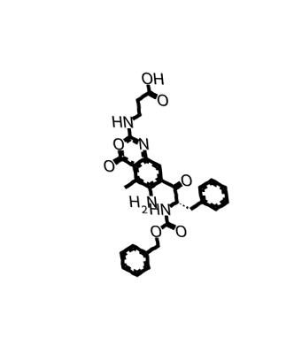 Cc1c(N)c(C(=O)[C@H](Cc2ccccc2)NC(=O)OCc2ccccc2)cc2nc(NCCC(=O)O)oc(=O)c12